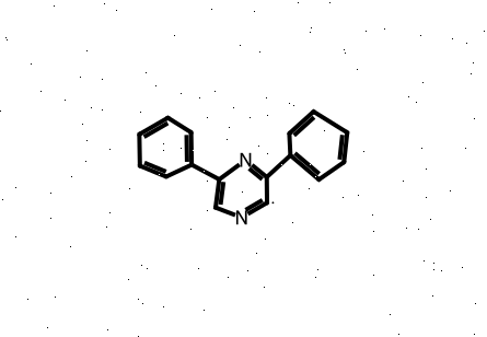 [c]1ncc(-c2ccccc2)nc1-c1ccccc1